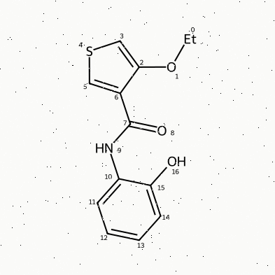 CCOc1cscc1C(=O)Nc1ccccc1O